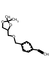 C#Cc1ccc(COCC2COC(C)(C)O2)cc1